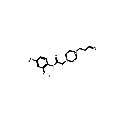 Cc1ccc(NC(=O)CN2CCN(CC[C]=O)CC2)c(C)c1